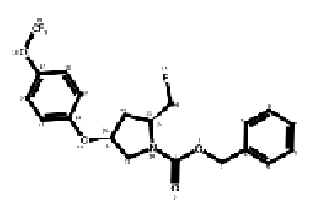 O=C(OCc1ccccc1)N1C[C@@H](Oc2ccc(OC(F)(F)F)cc2)C[C@H]1CF